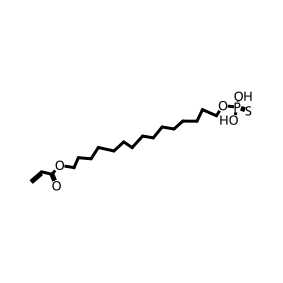 C=CC(=O)OCCCCCCCCCCCCCCCOP(O)(O)=S